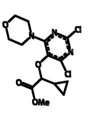 COC(=O)C(Oc1c(Cl)nc(Cl)nc1N1CCOCC1)C1CC1